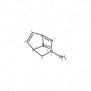 NN1CN2C=CC(=N1)C2=O